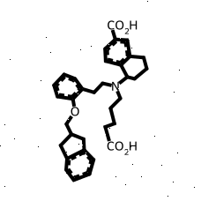 O=C(O)CCCCN(CCc1ccccc1OCC1Cc2ccccc2C1)C1CCCc2cc(C(=O)O)ccc21